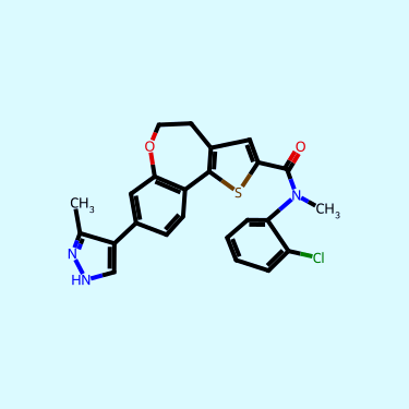 Cc1n[nH]cc1-c1ccc2c(c1)OCCc1cc(C(=O)N(C)c3ccccc3Cl)sc1-2